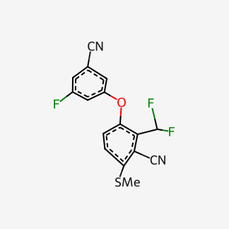 CSc1ccc(Oc2cc(F)cc(C#N)c2)c(C(F)F)c1C#N